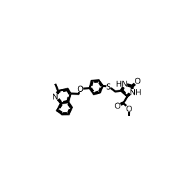 COC(=O)c1[nH]c(=O)[nH]c1CSc1ccc(OCc2cc(C)nc3ccccc23)cc1